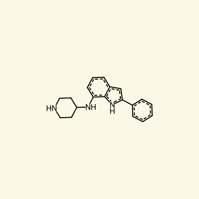 c1ccc(-c2cc3cccc(NC4CCNCC4)c3[nH]2)cc1